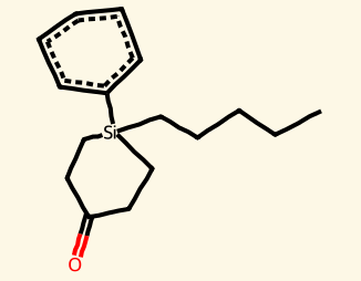 CCCCC[Si]1(c2ccccc2)CCC(=O)CC1